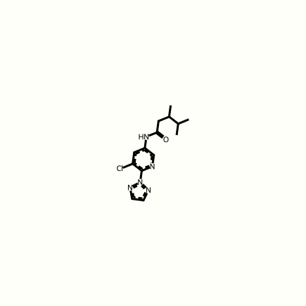 CC(C)C(C)CC(=O)Nc1cnc(-n2nccn2)c(Cl)c1